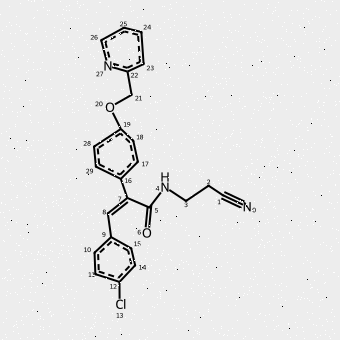 N#CCCNC(=O)C(=Cc1ccc(Cl)cc1)c1ccc(OCc2ccccn2)cc1